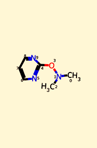 CN(C)Oc1ncccn1